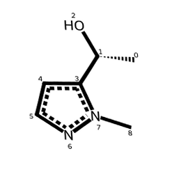 C[C@@H](O)c1ccnn1C